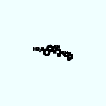 O=C(Cc1nc2c3c(ccc2[nH]1)N(C(=O)O)CCC3)NCc1ncco1